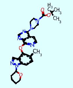 Cc1ccc2c(cnn2C2CCCCO2)c1Oc1nccc2c(N3CCN(C(=O)OC(C)(C)C)CC3)ncnc12